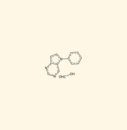 O=CO.c1ccc(-n2ccc3ncncc32)cc1